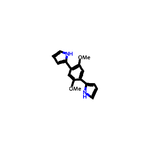 COc1cc(-c2ccc[nH]2)c(OC)cc1-c1ccc[nH]1